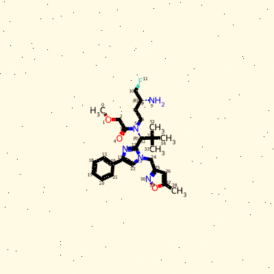 COCC(=O)N(CC[C@@H](N)CF)[C@@H](c1nc(-c2ccccc2)cn1Cc1cc(C)on1)C(C)(C)C